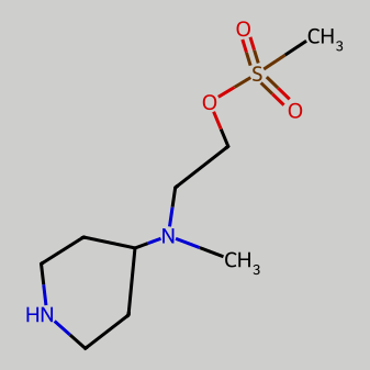 CN(CCOS(C)(=O)=O)C1CCNCC1